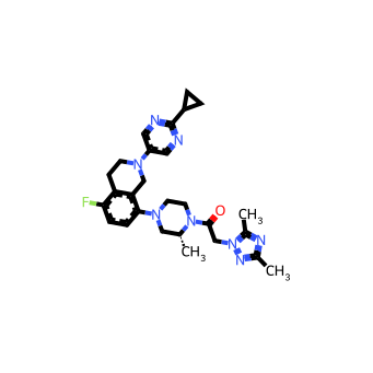 Cc1nc(C)n(CC(=O)N2CCN(c3ccc(F)c4c3CN(c3cnc(C5CC5)nc3)CC4)C[C@H]2C)n1